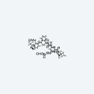 COCC(C)(C)c1nnc2ccc(O[C@@H]3CC[C@H](NC(=O)Nc4cc(C(C)(C)C)nc(C(=O)NCC5(N(C)C)CCC5)n4)c4ccccc43)cn12.O=CO